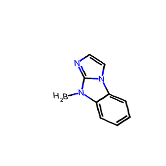 Bn1c2ccccc2n2ccnc12